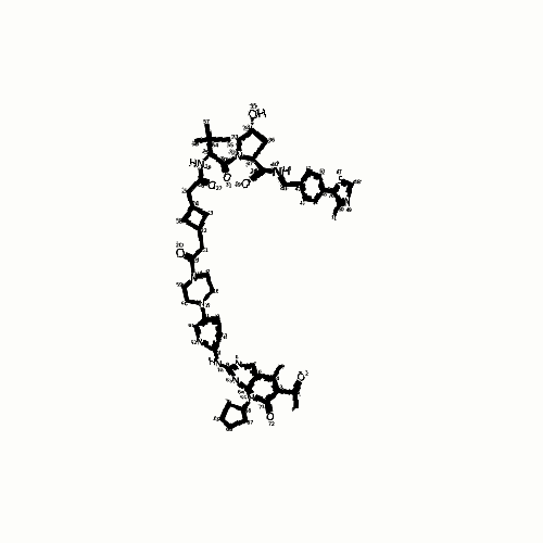 CC(=O)c1c(C)c2cnc(Nc3ccc(N4CCN(C(=O)CC5CC(CC(=O)N[C@H](C(=O)N6C[C@H](O)C[C@H]6C(=O)NCc6ccc(-c7scnc7C)cc6)C(C)(C)C)C5)CC4)cn3)nc2n(C2CCCC2)c1=O